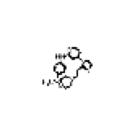 FC(F)(F)Oc1ccc(Nc2cc(-n3ccnc3CCN3CCOCC3)ncn2)cc1